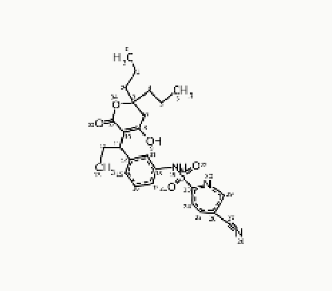 CCCC1(CCC)CC(O)=C(C(CC)c2cccc(NS(=O)(=O)c3ccc(C#N)cn3)c2)C(=O)O1